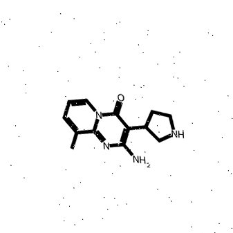 Cc1cccn2c(=O)c(C3CCNC3)c(N)nc12